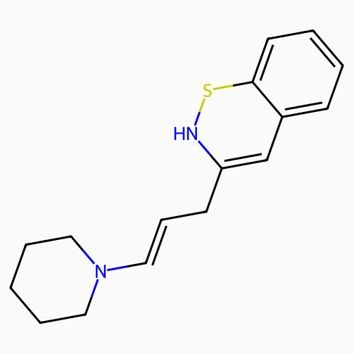 C(=CN1CCCCC1)CC1=Cc2ccccc2SN1